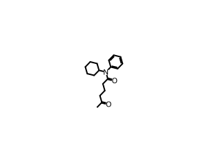 CC(=O)CCCC(=O)N(c1ccccc1)C1CCCCC1